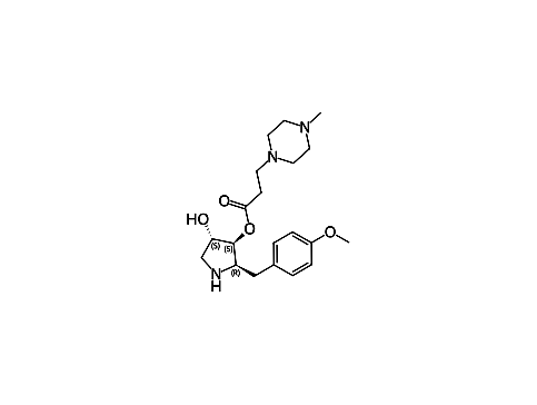 COc1ccc(C[C@H]2NC[C@H](O)[C@H]2OC(=O)CCN2CCN(C)CC2)cc1